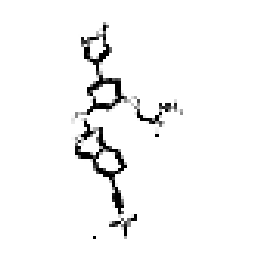 C[C@@H](N)COc1cc(Nc2ncc3cc(C#C[Si](C)(C)C)ccc3n2)cc(-c2cnn(C)c2)c1